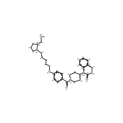 O=C(c1ccc(OCCCCCN2CCC[C@H]2CO)cc1)N1CCC(N2C(=O)CCc3ccccc32)CC1